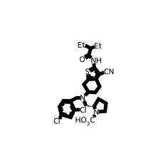 CCC(CC)C(=O)Nc1sc2c(c1C#N)CCC(N(Cc1ccc(Cl)cc1Cl)C[C@@H]1CCCN1C(=O)O)C2